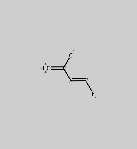 C=C(Cl)C=CF